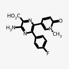 Cn1cc(-c2nc(C(=O)O)c(N)nc2-c2ccc(F)cc2)ccc1=O